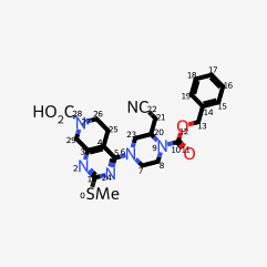 CSc1nc2c(c(N3CCN(C(=O)OCc4ccccc4)C(CC#N)C3)n1)CCN(C(=O)O)C2